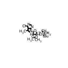 Cc1cn([C@@H]2O[C@H](CO[Si](C)(C)C(C)(C)C)[C@H]3OC(C)(C)O[C@H]32)c2ncnc(Cl)c12